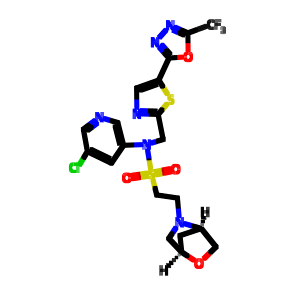 O=S(=O)(CCN1C[C@H]2C[C@@H]1CO2)N(Cc1ncc(-c2nnc(C(F)(F)F)o2)s1)c1cncc(Cl)c1